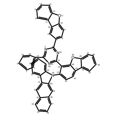 c1ccc(-c2nc(-c3ccc4oc5ccccc5c4c3)nc(-c3c(-n4c5ccccc5c5cc6ccccc6cc54)ccc4c3oc3ccccc34)n2)cc1